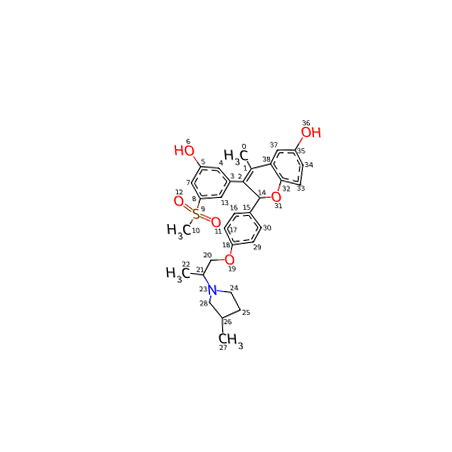 CC1=C(c2cc(O)cc(S(C)(=O)=O)c2)C(c2ccc(OCC(C)N3CCC(C)C3)cc2)Oc2ccc(O)cc21